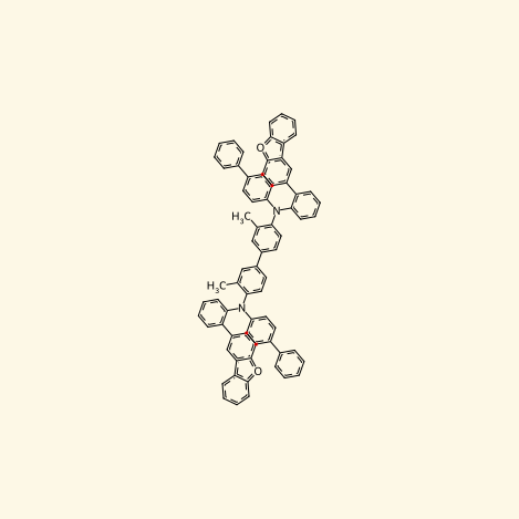 Cc1cc(-c2ccc(N(c3ccc(-c4ccccc4)cc3)c3ccccc3-c3ccc4oc5ccccc5c4c3)c(C)c2)ccc1N(c1ccc(-c2ccccc2)cc1)c1ccccc1-c1ccc2oc3ccccc3c2c1